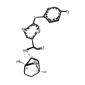 O=C(N[C@@H]1C[C@H]2CC[C@@H]1N2)c1cnc(Sc2ccc(Cl)cc2)s1